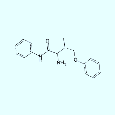 CC(COc1ccccc1)C(N)C(=O)Nc1ccccc1